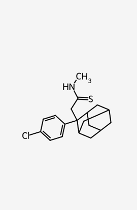 CNC(=S)CC1(c2ccc(Cl)cc2)C2CC3CC(C2)CC1C3